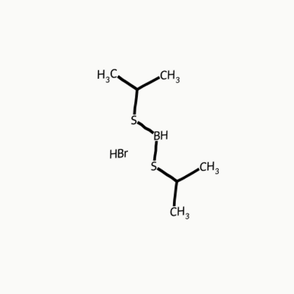 Br.CC(C)SBSC(C)C